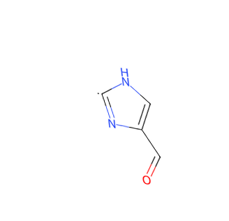 O=Cc1c[nH][c]n1